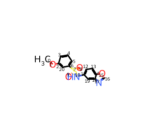 COc1cccc(S(=O)(=O)Nc2ccc3ocnc3c2)c1